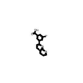 O=C(O)c1cc(F)cc(-c2ccc3cccnc3n2)c1